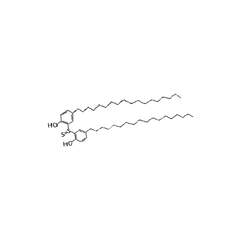 CCCCCCCCCCCCCCCCCCc1ccc(O)c(S(=S)c2cc(CCCCCCCCCCCCCCCCCC)ccc2O)c1